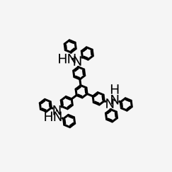 c1ccc(NN(c2ccccc2)c2ccc(-c3cc(-c4ccc(N(Nc5ccccc5)c5ccccc5)cc4)cc(-c4ccc(N(Nc5ccccc5)c5ccccc5)cc4)c3)cc2)cc1